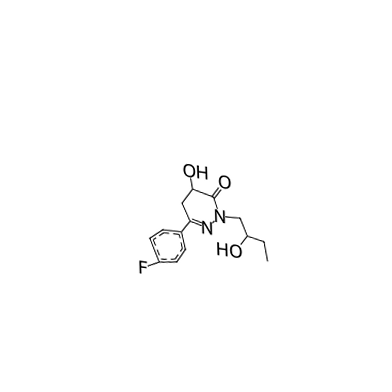 CCC(O)CN1N=C(c2ccc(F)cc2)CC(O)C1=O